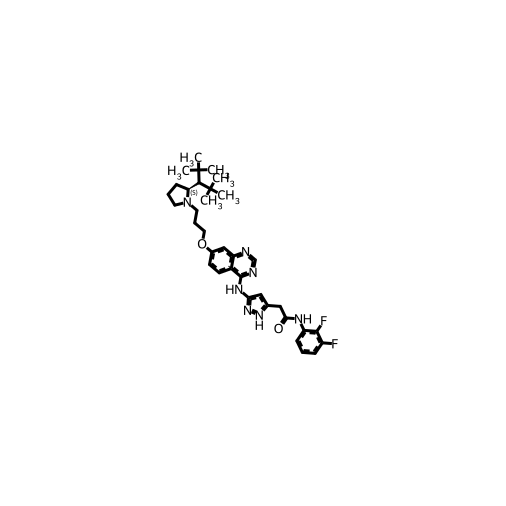 CC(C)(C)C([C@@H]1CCCN1CCCOc1ccc2c(Nc3cc(CC(=O)Nc4cccc(F)c4F)[nH]n3)ncnc2c1)C(C)(C)C